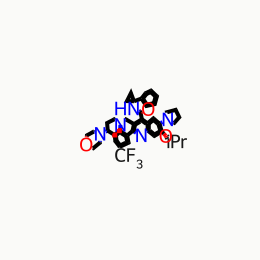 CC(C)Oc1cc2nc(-c3cccc(C(F)(F)F)c3)c(CN3CCC(N4CCOCC4)CC3)c(C(=O)NC3(c4ccccc4)CC3)c2cc1N1CCCC1